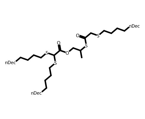 CCCCCCCCCCCCCCSCC(=O)SC(C)COC(=O)C(SCCCCCCCCCCCCCC)SCCCCCCCCCCCCCC